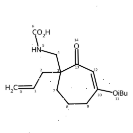 C=CCC1(CNC(=O)O)CCCC(OCC(C)C)=CC1=O